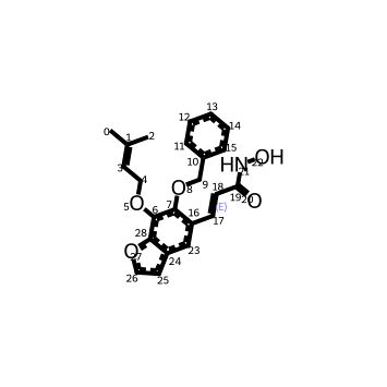 CC(C)=CCOc1c(OCc2ccccc2)c(/C=C/C(=O)NO)cc2ccoc12